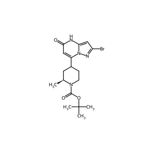 C[C@H]1CC(c2cc(=O)[nH]c3cc(Br)nn23)CCN1C(=O)OC(C)(C)C